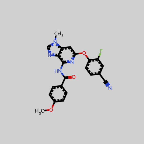 COc1ccc(C(=O)Nc2nc(Oc3ccc(C#N)cc3F)cc3c2ncn3C)cc1